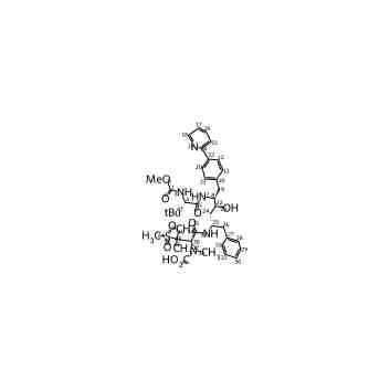 COC(=O)N[C@H](C(=O)N[C@@H](Cc1ccc(-c2ccccn2)cc1)[C@@H](O)C[C@H](Cc1ccccc1)NC(=O)[C@@H](N(C)C(=O)O)C(C)(C)S(C)(=O)=O)C(C)(C)C